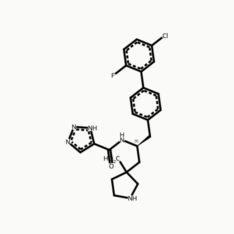 O=C(N[C@@H](Cc1ccc(-c2cc(Cl)ccc2F)cc1)CC1(C(=O)O)CCNC1)c1cnn[nH]1